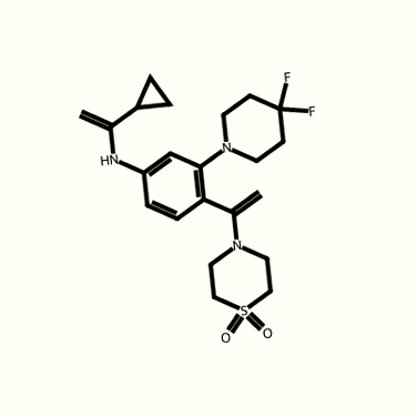 C=C(Nc1ccc(C(=C)N2CCS(=O)(=O)CC2)c(N2CCC(F)(F)CC2)c1)C1CC1